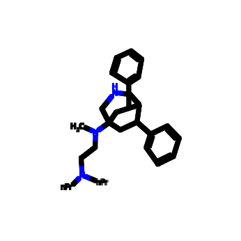 CCCN(CCC)CCN(C)C12CNCC(C(c3ccccc3)C1)C(c1ccccc1)C2